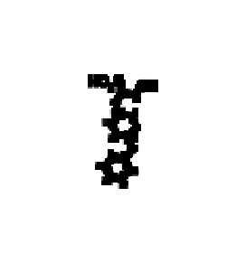 O=C(O)C([CH]N1CCN(Cc2ccccc2)CC1)CO